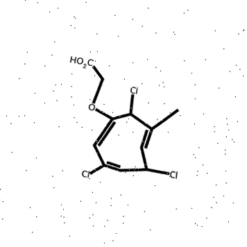 C/C1=C\C(Cl)C=C(Cl)/C=C(/OCC(=O)O)C1Cl